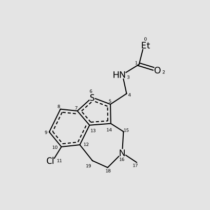 CCC(=O)NCc1sc2ccc(Cl)c3c2c1CN(C)CC3